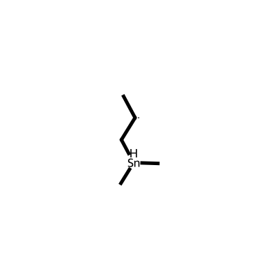 C[CH][CH2][SnH]([CH3])[CH3]